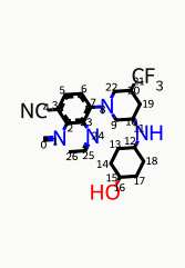 C=Nc1c(C#N)ccc(N2CC(NC3CCC(O)CC3)CC(C(F)(F)F)C2)c1/N=C\C